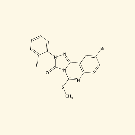 CSc1nc2ccc(Br)cc2c2nn(-c3ccccc3F)c(=O)n12